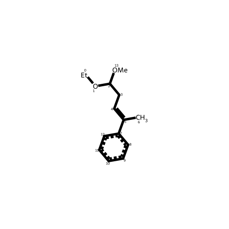 CCOC(CC=C(C)c1ccccc1)OC